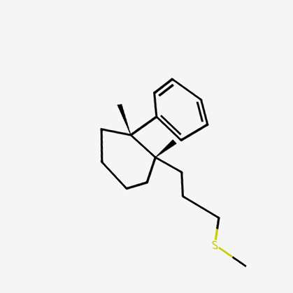 CSCCC[C@]1(C)CCCC[C@]1(C)c1ccccc1